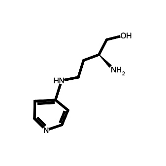 N[C@H](CO)CCNc1ccncc1